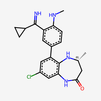 CNc1ccc(-c2cc(Cl)cc3c2N[C@H](C)CC(=O)N3)cc1C(=N)C1CC1